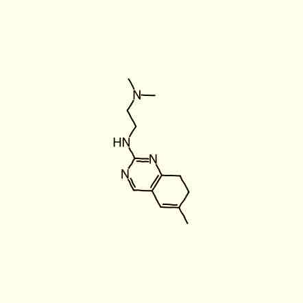 CC1=Cc2cnc(NCCN(C)C)nc2CC1